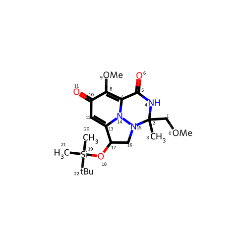 COCC1(C)NC(=O)c2c(OC)c(=O)cc3n2N1CC3O[Si](C)(C)C(C)(C)C